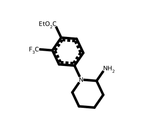 CCOC(=O)c1ccc(N2CCCCC2N)cc1C(F)(F)F